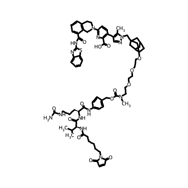 Cc1c(-c2ccc(N3CCc4cccc(C(=O)Nc5nc6ccccc6s5)c4C3)nc2C(=O)O)cnn1CC12CC3CC(C1)C(OCCOCCOCCN(C)C(=O)OCc1ccc(NC(=O)[C@H](CCCNC(N)=O)NC(=O)[C@@H](NC(=O)CCCCCN4C(=O)C=CC4=O)C(C)C)cc1)(C3)C2